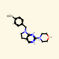 COc1ccc(CN2CCc3cnc(N4CCOCC4)nc32)cc1